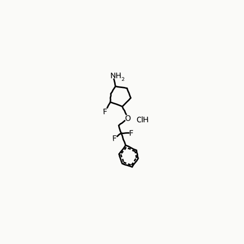 Cl.NC1CCC(OCC(F)(F)c2ccccc2)C(F)C1